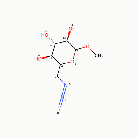 COC1OC(CN=[N+]=[N-])[C@@H](O)[C@H](O)[C@H]1O